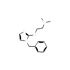 CN(C)CCNc1nccn1Cc1ccccc1